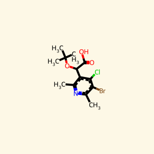 Cc1nc(C)c(C(OC(C)(C)C)C(=O)O)c(Cl)c1Br